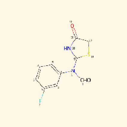 O=CN(c1cccc(F)c1)C1NC(=O)CS1